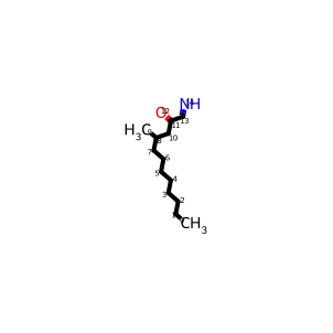 CCCCCCCCC(C)CC(=O)C=N